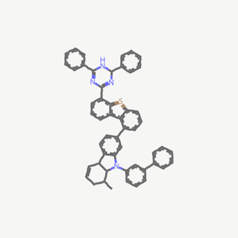 CC1CC=CC2c3ccc(-c4cccc5sc6c(C7=NC(c8ccccc8)NC(c8ccccc8)=N7)cccc6c45)cc3N(c3cccc(-c4ccccc4)c3)C12